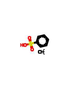 O=S(=O)(O)c1ccccc1.[CH]